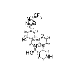 OC(C1CCNCC1)N(Cc1ccc(-c2nnc(C(F)(F)F)o2)cc1F)c1ccccc1